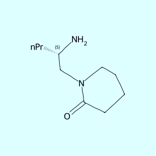 CCC[C@H](N)CN1CCCCC1=O